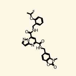 CC(F)Oc1ccccc1CNC(=O)c1cc(C(=O)NCc2ccc3oc(=O)n(C)c3c2)nc2ccnn12